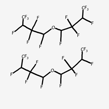 FC(OC(F)C(F)(F)C(F)C(F)(F)F)C(F)(F)C(F)C(F)(F)F.FC(OC(F)C(F)(F)C(F)C(F)(F)F)C(F)(F)C(F)C(F)(F)F